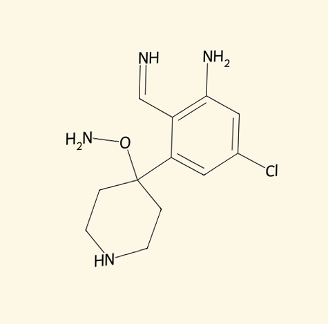 N=Cc1c(N)cc(Cl)cc1C1(ON)CCNCC1